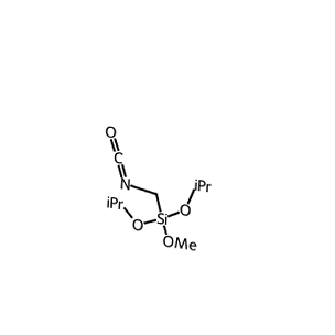 CO[Si](CN=C=O)(OC(C)C)OC(C)C